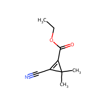 CCOC(=O)C1=C(C#N)C1(C)C